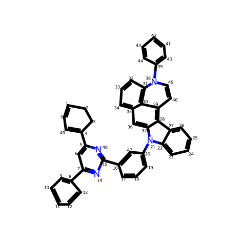 C1=CCCC(c2cc(-c3ccccc3)nc(-c3cccc(-n4c5ccccc5c5c6c7c(cccc7cc54)N(c4ccccc4)C=C6)c3)n2)=C1